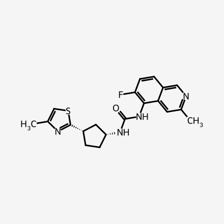 Cc1cc2c(NC(=O)N[C@@H]3CC[C@H](c4nc(C)cs4)C3)c(F)ccc2cn1